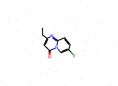 CCc1cc(=O)n2cc(F)ccc2n1